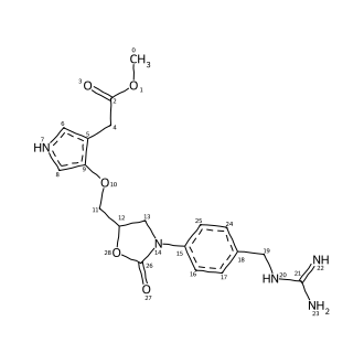 COC(=O)Cc1c[nH]cc1OCC1CN(c2ccc(CNC(=N)N)cc2)C(=O)O1